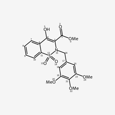 COC(=O)C1=C(O)c2ccccc2S(=O)(=O)N1Cc1cc(OC)c(OC)c(OC)c1